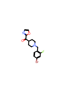 O=C(c1ncco1)C1CCN(Cc2ccc(Br)cc2F)CC1